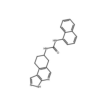 O=C(Nc1cccc2ccccc12)NC1CCc2c(cnc3[nH]ncc23)C1